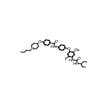 CCCCN1CCC(Oc2ccc(C(=O)Nc3ccc(Oc4cc(F)c(NC(=O)NC(CC)CC)cc4OC)cc3)cc2)CC1